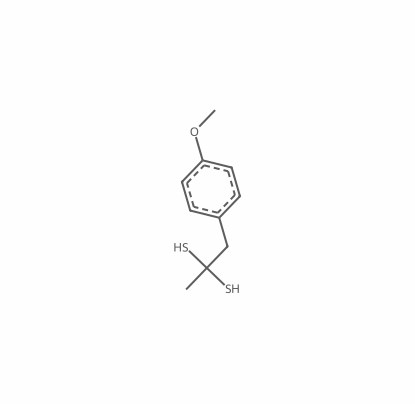 COc1ccc(CC(C)(S)S)cc1